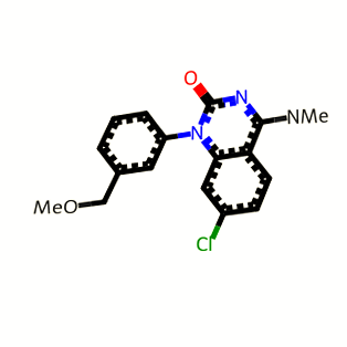 CNc1nc(=O)n(-c2cccc(COC)c2)c2cc(Cl)ccc12